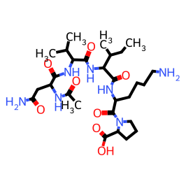 CCC(C)C(NC(=O)C(NC(=O)C(CC(N)=O)NC(C)=O)C(C)C)C(=O)NC(CCCCN)C(=O)N1CCCC1C(=O)O